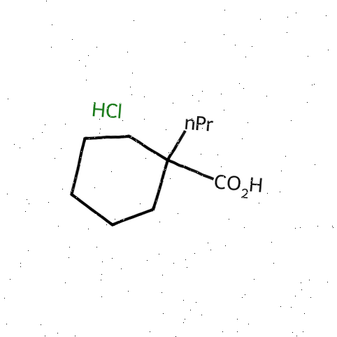 CCCC1(C(=O)O)CCCCC1.Cl